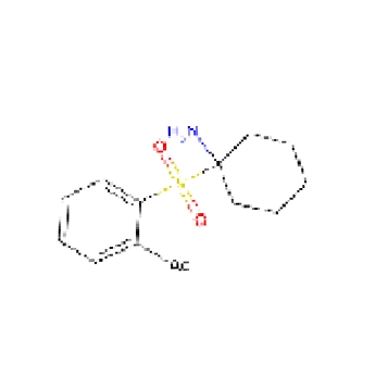 CC(=O)c1ccccc1S(=O)(=O)C1(N)CCCCC1